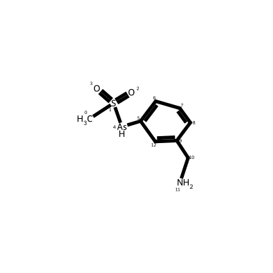 CS(=O)(=O)[AsH]c1cccc(CN)c1